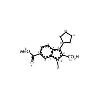 COC(=O)c1ccc2c(C3CCCC3)c(C(=O)O)n(C)c2c1